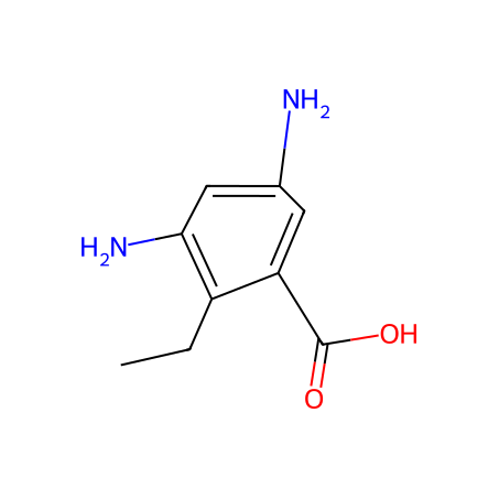 CCc1c(N)cc(N)cc1C(=O)O